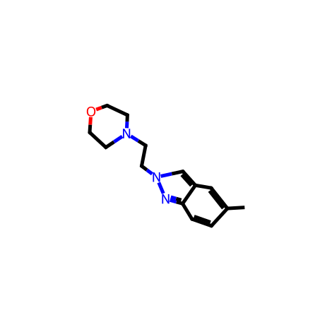 Cc1ccc2nn(CCN3CCOCC3)cc2c1